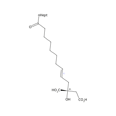 CCCCCCCC(=O)CCCCCC/C=C/C[C@@](O)(CC(=O)O)C(=O)O